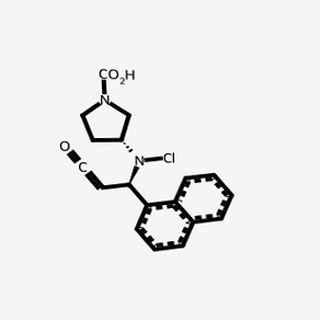 O=C=C[C@H](c1cccc2ccccc12)N(Cl)[C@@H]1CCN(C(=O)O)C1